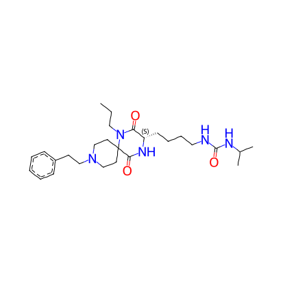 CCCN1C(=O)[C@H](CCCCNC(=O)NC(C)C)NC(=O)C12CCN(CCc1ccccc1)CC2